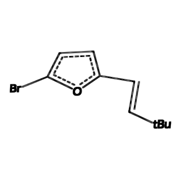 CC(C)(C)/C=C/c1ccc(Br)o1